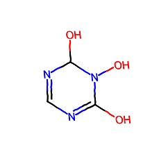 OC1=NC=NC(O)N1O